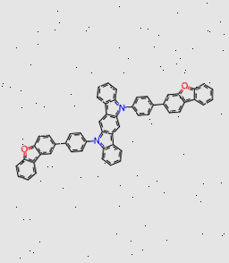 c1ccc2c(c1)oc1cc(-c3ccc(-n4c5ccccc5c5cc6c(cc54)c4ccccc4n6-c4ccc(-c5ccc6oc7ccccc7c6c5)cc4)cc3)ccc12